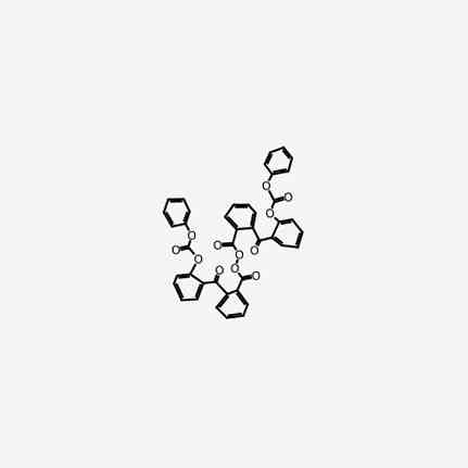 O=C(Oc1ccccc1)Oc1ccccc1C(=O)c1ccccc1C(=O)OOC(=O)c1ccccc1C(=O)c1ccccc1OC(=O)Oc1ccccc1